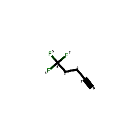 C#CC[CH]C(F)(F)F